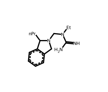 CCCC1c2ccccc2CN1CN(CC)C(=N)N